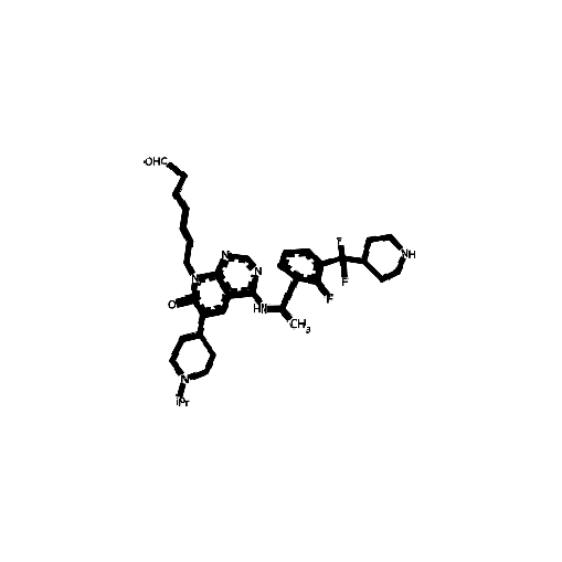 CC(Nc1ncnc2c1cc(C1CCN(C(C)C)CC1)c(=O)n2CCCCCCC=O)c1cccc(C(F)(F)C2CCNCC2)c1F